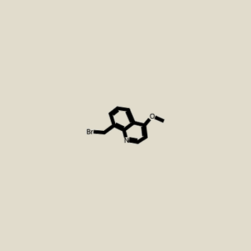 COc1ccnc2c(CBr)cccc12